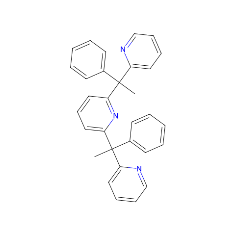 CC(c1ccccc1)(c1ccccn1)c1cccc(C(C)(c2ccccc2)c2ccccn2)n1